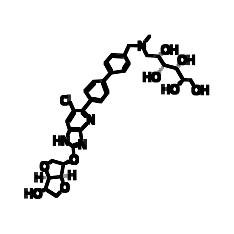 CN(Cc1ccc(-c2ccc(-c3nc4nc(O[C@@H]5CO[C@H]6[C@@H]5OC[C@H]6O)[nH]c4cc3Cl)cc2)cc1)C[C@H](O)[C@@H](O)[C@H](O)[C@H](O)CO